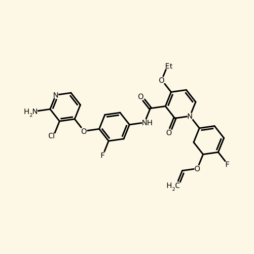 C=COC1CC(n2ccc(OCC)c(C(=O)Nc3ccc(Oc4ccnc(N)c4Cl)c(F)c3)c2=O)=CC=C1F